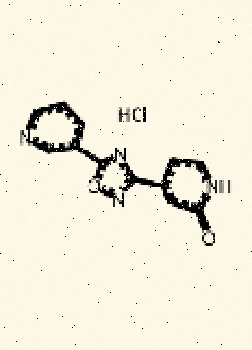 Cl.O=c1cc(-c2noc(-c3cccnc3)n2)cc[nH]1